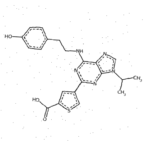 CC(C)n1cnc2c(NCCc3ccc(O)cc3)nc(-c3csc(C(=O)O)c3)nc21